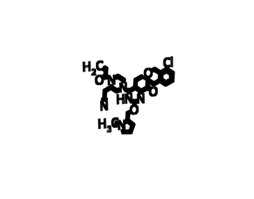 C=CC(=O)N1CCN(C2NC(OCC3CCCN3C)N=C3C(=O)[C@@]4(CCC32)Cc2cccc(Cl)c2CO4)CC1CC#N